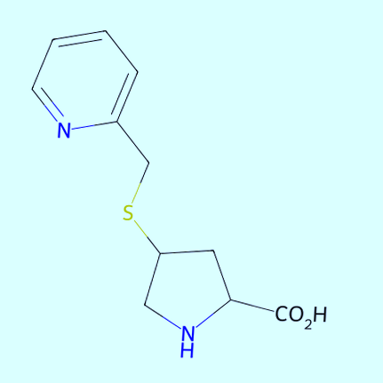 O=C(O)C1CC(SCc2ccccn2)CN1